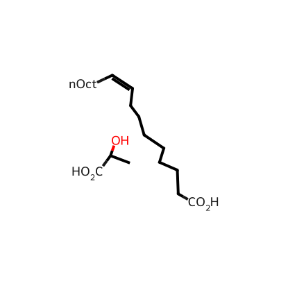 CC(O)C(=O)O.CCCCCCCC/C=C\CCCCCCCC(=O)O